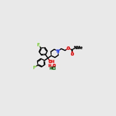 CNC(=O)OCCN1CCC(C(O)(c2ccc(F)cc2)c2ccc(F)cc2)CC1.Cl.O